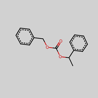 CC(OC(=O)OCc1ccccc1)c1ccccc1